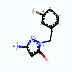 Nc1cc(=O)n(Cc2cccc(Br)c2)[nH]1